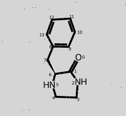 O=C1NCCN[C@H]1Cc1ccccc1